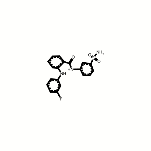 NS(=O)(=O)c1cccc(NC(=O)c2ccccc2Nc2cccc(F)c2)c1